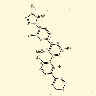 [2H]c1c(C2=CCCN=C2)ncc(C(C)(C)C)c1-c1cc(F)cc(-c2ccc(-n3ccn(C)c3=O)c(Cl)c2)c1OC